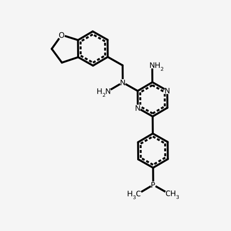 CP(C)c1ccc(-c2cnc(N)c(N(N)Cc3ccc4c(c3)CCO4)n2)cc1